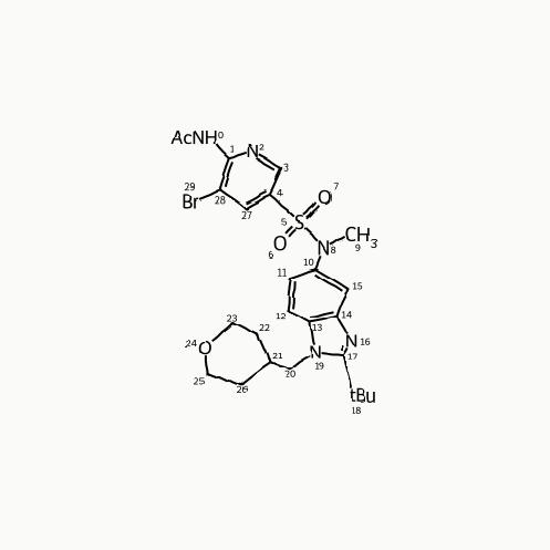 CC(=O)Nc1ncc(S(=O)(=O)N(C)c2ccc3c(c2)nc(C(C)(C)C)n3CC2CCOCC2)cc1Br